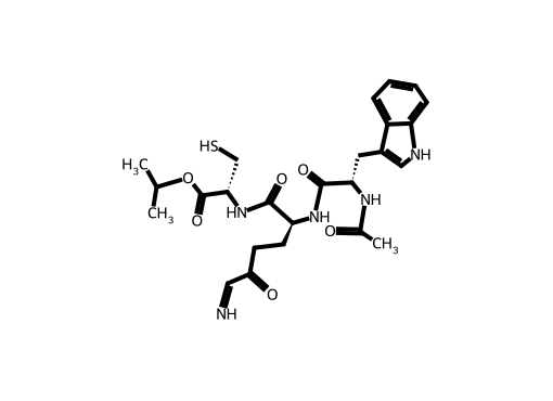 CC(=O)N[C@@H](Cc1c[nH]c2ccccc12)C(=O)N[C@@H](CCC(=O)C=N)C(=O)N[C@@H](CS)C(=O)OC(C)C